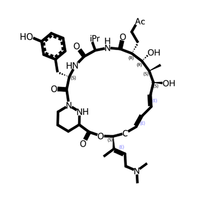 CC(=O)CC[C@H]1C(=O)NC(C(C)C)C(=O)N[C@@H](Cc2cccc(O)c2)C(=O)N2CCCC(N2)C(=O)O[C@H](/C(C)=C/CN(C)C)C/C=C/C=C/[C@H](O)[C@H](C)[C@H]1O